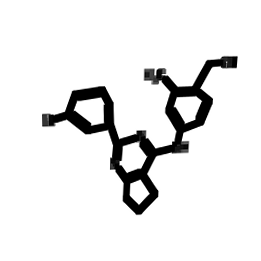 CCc1cccc(-c2nc3c(c(Nc4ccc(CC#N)c(C)c4)n2)CCC3)c1